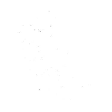 Cc1cccc(-c2c3c(c(-c4cccc(C)c4C)c4ccccc24)-c2cc4c(c5cccc-3c25)-c2ccc(N(c3ccccc3)c3ccccc3)cc2C4(c2ccccc2)c2ccccc2)c1C